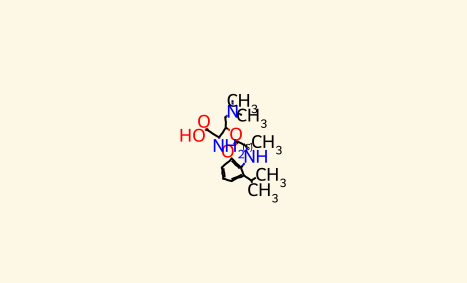 CC(C)c1ccccc1N[C@@H](C)C(=O)OC(CN(C)C)C(N)C(=O)O